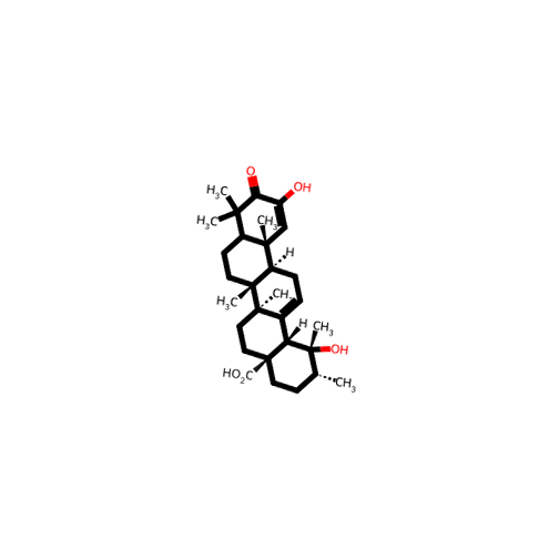 C[C@@H]1CC[C@]2(C(=O)O)CC[C@]3(C)C(=CC[C@@H]4[C@@]5(C)C=C(O)C(=O)C(C)(C)C5CC[C@]43C)[C@@H]2[C@]1(C)O